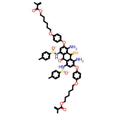 C=C(C)C(=O)OCCCCCCOc1ccc(Oc2cc(N[S+]([O-])c3ccc(C)cc3)c3c(c2N)C(=P)c2c(N)c(Oc4ccc(OCCCCCCOC(=O)C(=C)C)cc4)cc(N[S+]([O-])c4ccc(C)cc4)c2C3=O)cc1